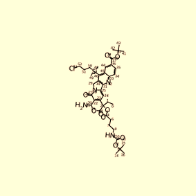 CCC1(OC(=O)CCCNC(=O)OC(C)(C)C)C(=O)OC(N)c2c1cc1n(c2=O)Cc2c-1nc1ccc(C(=O)OC(C)(C)C)cc1c2[Si](C)(C)CCCCl